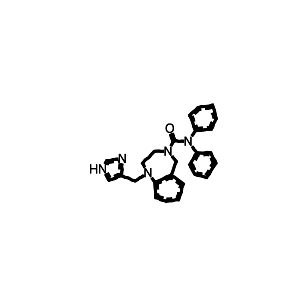 O=C(N1CCN(Cc2c[nH]cn2)c2ccccc2C1)N(c1ccccc1)c1ccccc1